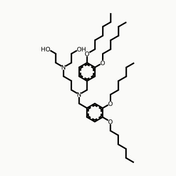 CCCCCCOc1ccc(CN(CCCN(CCO)CCO)Cc2ccc(OCCCCCC)c(OCCCCCC)c2)cc1OCCCCCC